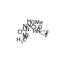 COc1cc(C(=O)NC2CCC(F)(F)CC2)ccc1Nc1ncc(Cl)c(-c2ccn(C)n2)n1